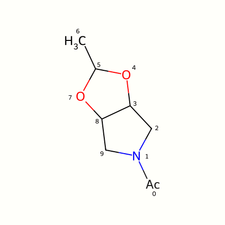 CC(=O)N1CC2OC(C)OC2C1